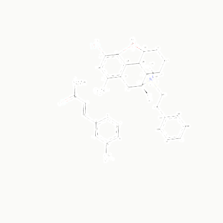 CNC(=O)/C=C/c1cccc(C(F)(F)F)c1.O=[N+]([O-])c1cc(O)c2c3c1C[C@@H]1[C@@H]4CCC[C@H](O2)[C@]34CCN1CCc1ccccc1